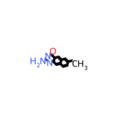 CCc1ccc2c(c1)=CC1C(=O)N=C(N)N=C1C=2